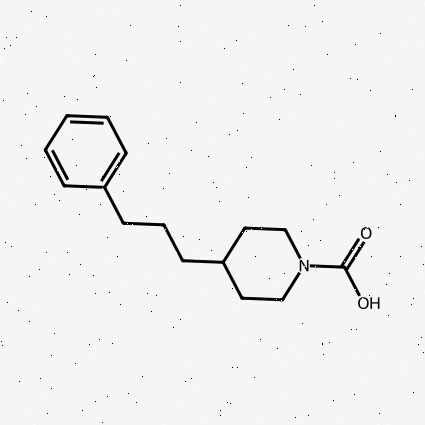 O=C(O)N1CCC(CCCc2ccccc2)CC1